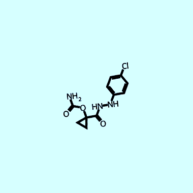 NC(=O)OC1(C(=O)NNc2ccc(Cl)cc2)CC1